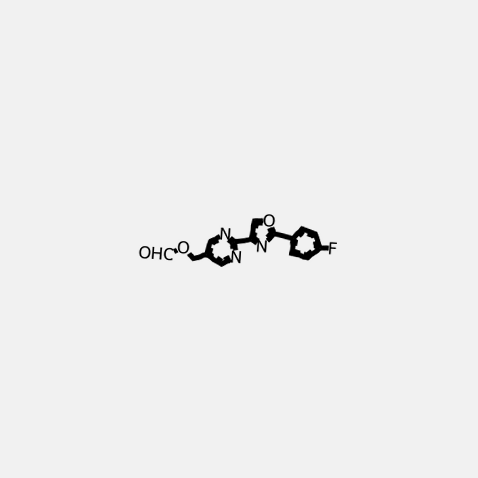 O=COCc1cnc(-c2coc(-c3ccc(F)cc3)n2)nc1